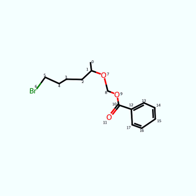 CC(CCCCBr)OCOC(=O)c1ccccc1